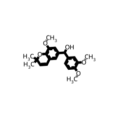 COc1ccc(C(O)c2cc3c(c(OC)c2)OC(C)(C)C=C3)cc1OC